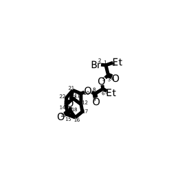 CCC(Br)C(=O)OC(CC)C(=O)OC1C2CC3CC(C2)C(=O)OC1C3